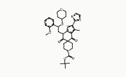 COc1ccccc1[C@H](CN1C(=O)C2(CCN(C(=O)OC(C)(C)C)CC2)C(=O)c2c1sc(-c1ncco1)c2C)OC1CCOCC1